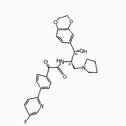 O=C(N[C@H](CN1CCCC1)[C@H](O)c1ccc2c(c1)OCCO2)C(=O)c1ccc(-c2ccc(F)cn2)cc1